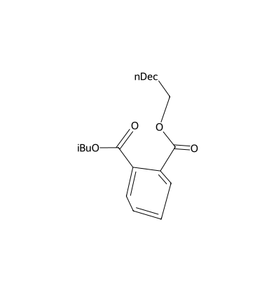 CCCCCCCCCCCOC(=O)c1ccccc1C(=O)OCC(C)C